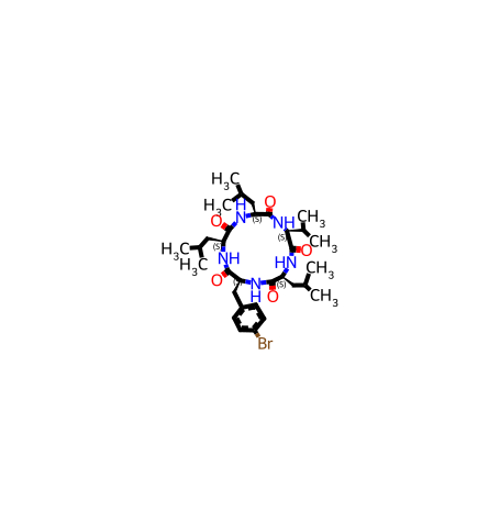 CC(C)C[C@@H]1NC(=O)[C@H](Cc2ccc(Br)cc2)NC(=O)[C@H](CC(C)C)NC(=O)[C@H](C(C)C)NC(=O)[C@H](CC(C)C)NC1=O